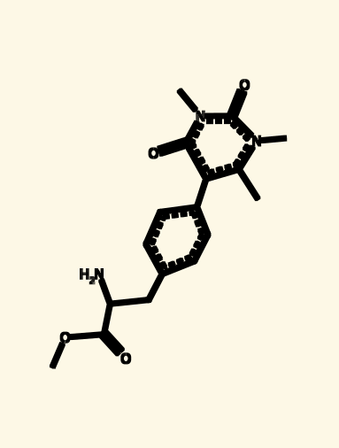 COC(=O)C(N)Cc1ccc(-c2c(C)n(C)c(=O)n(C)c2=O)cc1